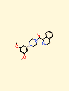 COc1cc(OC)cc(N2CCN(C(=O)c3nccc4ccccc34)CC2)c1